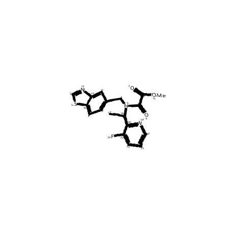 COC(=O)C(=O)N(Cc1ccc2scnc2c1)C(C)c1ncccc1F